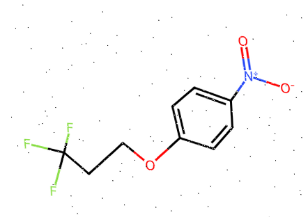 O=[N+]([O-])c1ccc(OCCC(F)(F)F)cc1